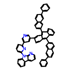 c1ccc(-c2ccc3ccc(-c4c5ccccc5c(-c5ccc6ccc(-c7ccccc7)cc6c5)c5cc(-c6cncc(-c7cccc(-n8c9ccccc9c9cccnc98)n7)c6)ccc45)cc3c2)cc1